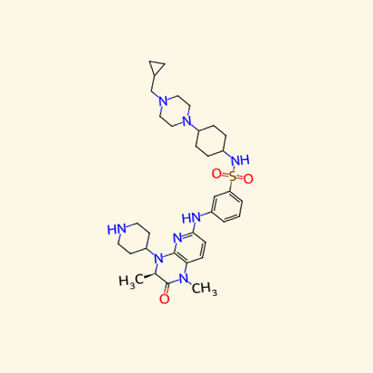 C[C@@H]1C(=O)N(C)c2ccc(Nc3cccc(S(=O)(=O)NC4CCC(N5CCN(CC6CC6)CC5)CC4)c3)nc2N1C1CCNCC1